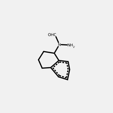 NN(C=O)C1CCCc2ccccc21